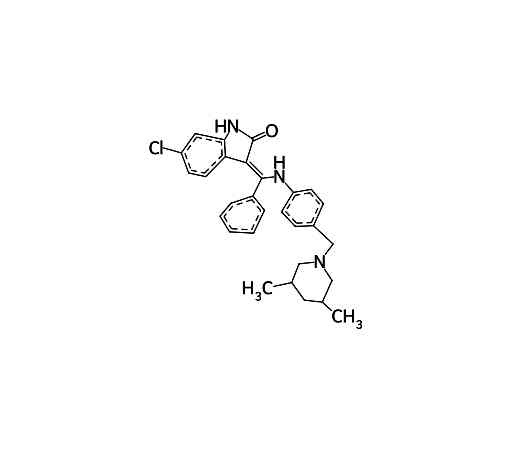 CC1CC(C)CN(Cc2ccc(N/C(=C3\C(=O)Nc4cc(Cl)ccc43)c3ccccc3)cc2)C1